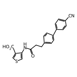 N#Cc1ccc(-c2ccc(CCC(=O)Nc3cscc3C(=O)O)cc2)cc1